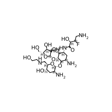 NC[C@@H](F)[C@H](O)C(=O)N[C@@H]1C[C@H](N)[C@@H](O[C@H]2O[C@H](CNCCO)[C@@H](O)C[C@H]2N)[C@H](O[C@@H]2O[C@H](CO)[C@@H](O)[C@H]2O)[C@H]1O